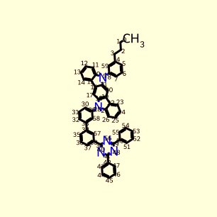 CCCCc1cccc(-n2c3ccccc3c3cc4c(cc32)c2ccccc2n4-c2cccc(-c3cccc(-c4nc(-c5ccccc5)nc(-c5ccccc5)n4)c3)c2)c1